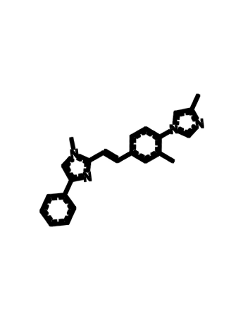 Cc1cn(-c2ccc(/C=C/c3nc(-c4ccccc4)cn3C)cc2C)cn1